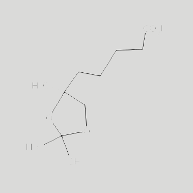 CC1(C)OC[C@](C)(CCCCC(=O)O)O1